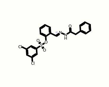 O=C(Cc1ccccc1)N/N=C/c1ccccc1OS(=O)(=O)c1cc(Cl)cc(Cl)c1